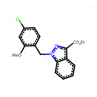 CCOC(=O)c1nn(Cc2ccc(Cl)cc2OC)c2ccccc12